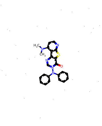 CN(C)c1ccnc2sc3c(=O)n(N(c4ccccc4)c4ccccc4)cnc3c12